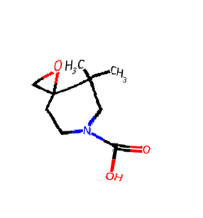 CC1(C)CN(C(=O)O)CCC12CO2